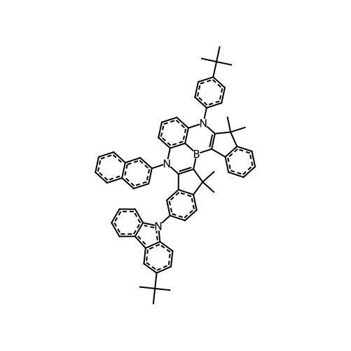 CC(C)(C)c1ccc(N2C3=C(B4C5=C(c6cc(-n7c8ccccc8c8cc(C(C)(C)C)ccc87)ccc6C5(C)C)N(c5ccc6ccccc6c5)c5cccc2c54)c2ccccc2C3(C)C)cc1